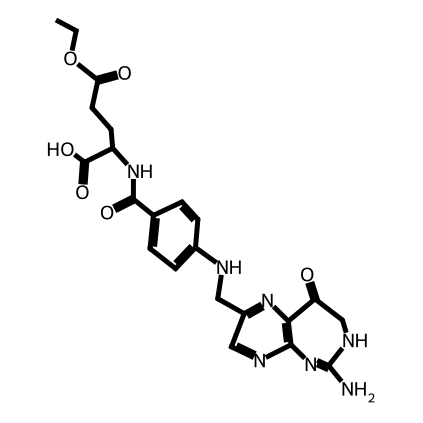 CCOC(=O)CCC(NC(=O)c1ccc(NCc2cnc3c(n2)C(=O)CNC(N)=N3)cc1)C(=O)O